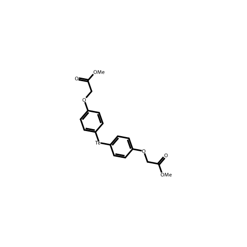 COC(=O)COc1ccc([Te]c2ccc(OCC(=O)OC)cc2)cc1